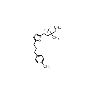 [CH2]CC(C)(C)CCc1ccc(CCCc2ccc(C)cc2)s1